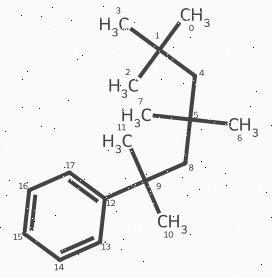 CC(C)(C)CC(C)(C)CC(C)(C)c1[c]cccc1